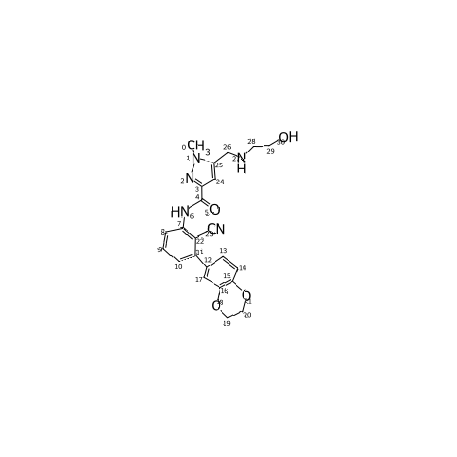 Cn1nc(C(=O)Nc2cccc(-c3ccc4c(c3)OCCO4)c2C#N)cc1CNCCO